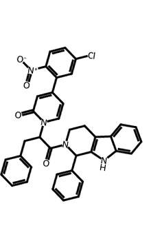 O=C(C(Cc1ccccc1)n1ccc(-c2cc(Cl)ccc2[N+](=O)[O-])cc1=O)N1CCc2c([nH]c3ccccc23)C1c1ccccc1